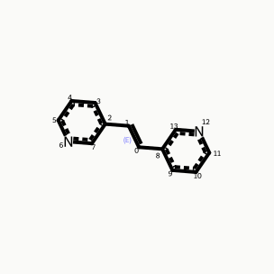 C(=C\c1cccnc1)/c1cccnc1